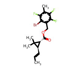 CC=C[C@@H]1[C@@H](C(=O)OCc2c(F)c(F)c(C)c(F)c2Br)C1(C)C